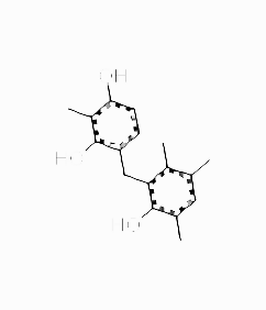 Cc1cc(C)c(O)c(Cc2ccc(O)c(C)c2O)c1C